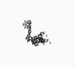 CN1N(Cc2ccc(OCCOCCNCC(O)CO)c(F)c2F)C(=O)C(C(=O)Nc2ccc(C(F)(F)F)cc2-c2cc(C(F)(F)F)ncn2)=C(N)C12CCCC2